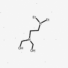 CCN(CC)CCN(CO)CO